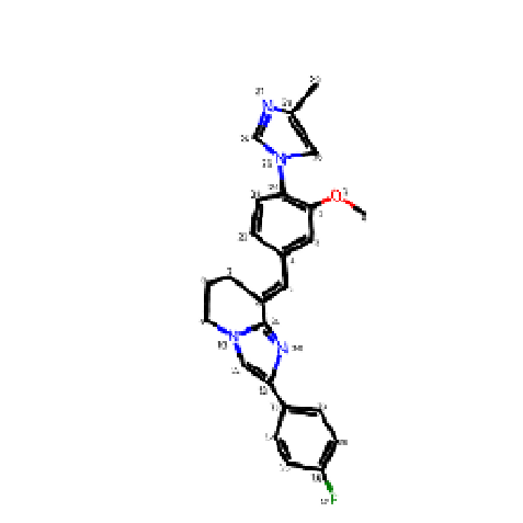 COc1cc(/C=C2\CCCn3cc(-c4ccc(F)cc4)nc32)ccc1-n1cnc(C)c1